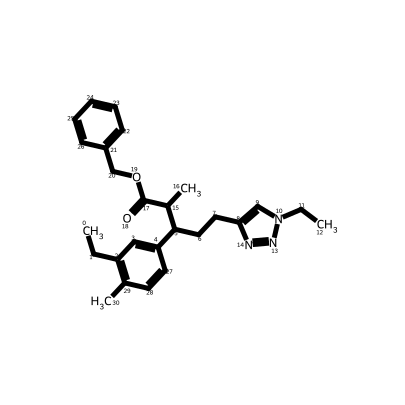 CCc1cc(C(CCc2cn(CC)nn2)C(C)C(=O)OCc2ccccc2)ccc1C